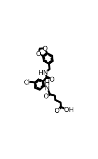 O=C(O)CCCC(=O)Nc1ccc(Cl)cc1C(=O)NCc1ccc2c(c1)OCO2